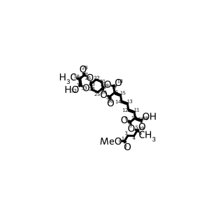 COC(=O)CCC1(C)OC(=O)C(/C=C/C=C/C=C2C(=O)OC3(CCC4(CC3)OC(=O)C(C)=C(O)O4)OC2=O)=C(O)O1